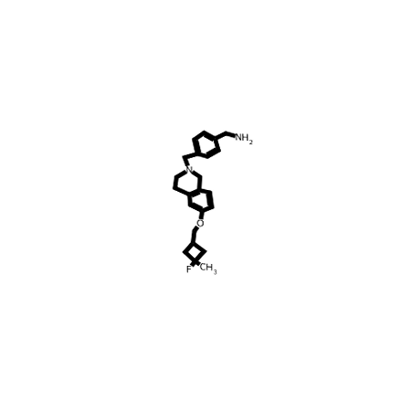 CC1(F)CC(COc2ccc3c(c2)CCN(Cc2ccc(CN)cc2)C3)C1